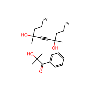 CC(C)(O)C(=O)c1ccccc1.CC(C)CCC(C)(O)C#CC(C)(O)CCC(C)C